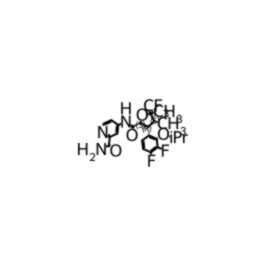 CC(C)Oc1c([C@@H]2[C@@H](C(=O)Nc3ccnc(C(N)=O)c3)O[C@@](C)(C(F)(F)F)[C@H]2C)ccc(F)c1F